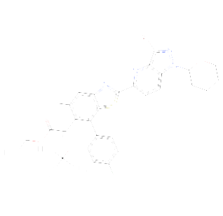 CCOC(=O)[C@@H](OC(C)(C)C)c1c(C)cc2nc(-c3ccc4c(n3)c(Br)nn4C3CCCCO3)sc2c1-c1ccc(Cl)cc1